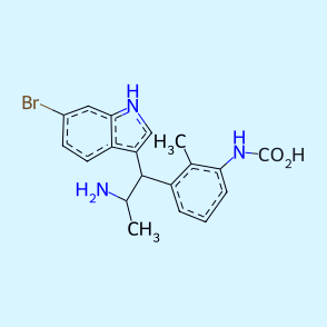 Cc1c(NC(=O)O)cccc1C(c1c[nH]c2cc(Br)ccc12)C(C)N